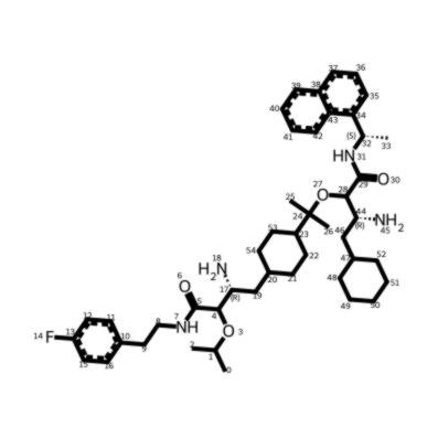 CC(C)OC(C(=O)NCCc1ccc(F)cc1)[C@H](N)CC1CCC(C(C)(C)OC(C(=O)N[C@@H](C)c2cccc3ccccc23)[C@H](N)CC2CCCCC2)CC1